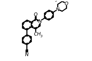 Cc1cn(-c2ccc(N3CCOC(C)(C)C3)cc2)c(=O)c2cccc(-c3ccc(C#N)cc3)c12